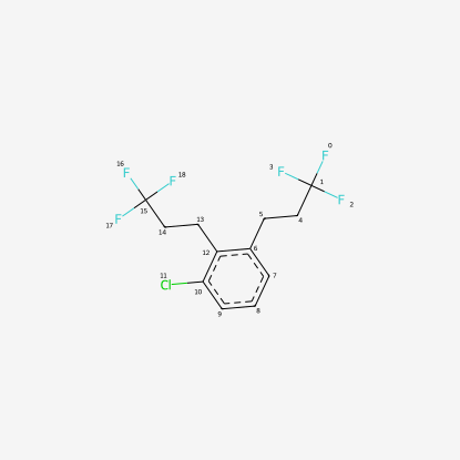 FC(F)(F)CCc1cccc(Cl)c1CCC(F)(F)F